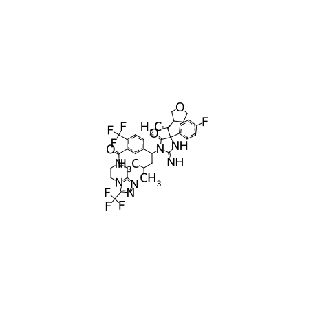 C=C([C@@H]1CCOC1)C1(c2ccc(F)cc2)NC(=N)N(C(CC(C)C)c2ccc(C(F)(F)F)c(C(=O)N3CCn4c(nnc4C(F)(F)F)C3)c2)C1=O